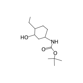 CCC1CCC(NC(=O)OC(C)(C)C)CC1O